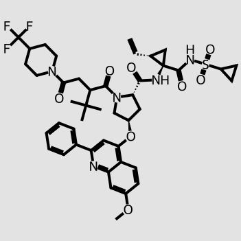 C=C[C@@H]1C[C@]1(NC(=O)[C@@H]1C[C@@H](Oc2cc(-c3ccccc3)nc3cc(OC)ccc23)CN1C(=O)C(CC(=O)N1CCC(C(F)(F)F)CC1)C(C)(C)C)C(=O)NS(=O)(=O)C1CC1